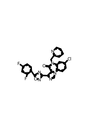 O=c1c2c(-c3noc(-c4ccc(F)cc4F)n3)ncn2c2ccc(Cl)cc2n1Cc1ccccn1